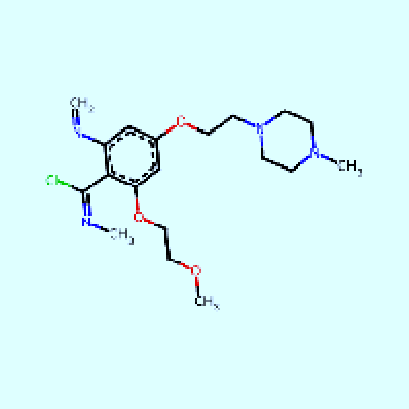 C=Nc1cc(OCCN2CCN(C)CC2)cc(OCCOC)c1/C(Cl)=N\C